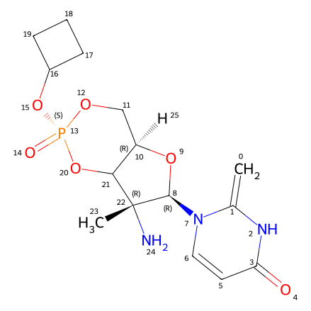 C=C1NC(=O)C=CN1[C@@H]1O[C@@H]2CO[P@@](=O)(OC3CCC3)OC2[C@@]1(C)N